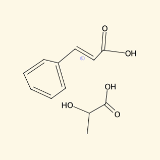 CC(O)C(=O)O.O=C(O)/C=C/c1ccccc1